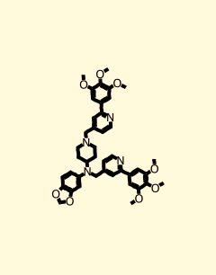 COc1cc(-c2cc(CN3CCC(N(Cc4ccnc(-c5cc(OC)c(OC)c(OC)c5)c4)c4ccc5c(c4)OCO5)CC3)ccn2)cc(OC)c1OC